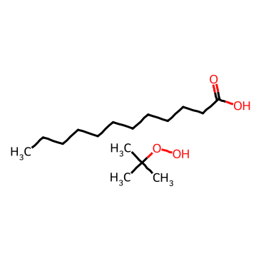 CC(C)(C)OO.CCCCCCCCCCCC(=O)O